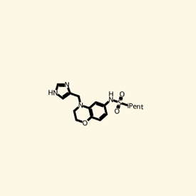 CCCC(C)S(=O)(=O)Nc1ccc2c(c1)N(Cc1c[nH]cn1)CCO2